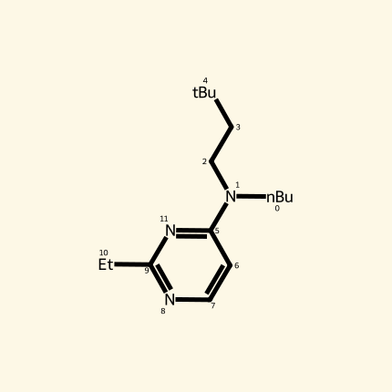 CCCCN(CCC(C)(C)C)c1ccnc(CC)n1